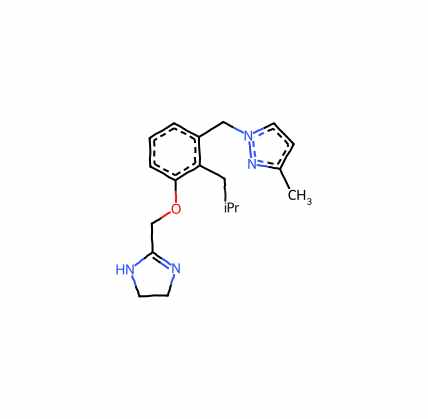 Cc1ccn(Cc2cccc(OCC3=NCCN3)c2CC(C)C)n1